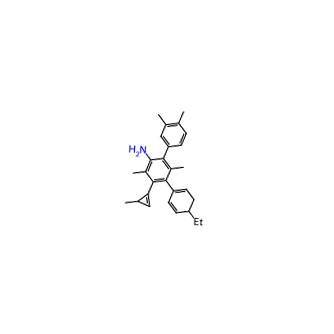 CCC1C=CC(c2c(C)c(-c3ccc(C)c(C)c3)c(N)c(C)c2C2=CC2C)=CC1